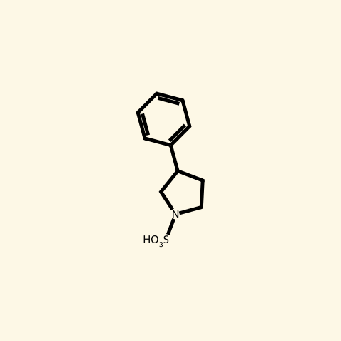 O=S(=O)(O)N1CCC(c2ccccc2)C1